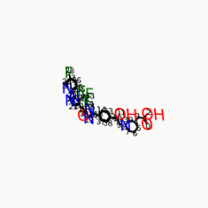 O=C(O)C[C@H]1CCCN(C[C@H](O)c2ccc(-c3noc(-c4cnn(-c5ccc(F)cn5)c4C(F)(F)F)n3)cc2)C1